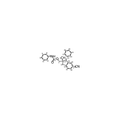 C[C@]1(COC(=O)Nc2ccccc2)Cc2ccc(C#N)cc2[C@H]1c1ccccc1